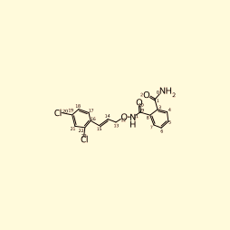 NC(=O)c1ccccc1C(=O)NOC/C=C/c1ccc(Cl)cc1Cl